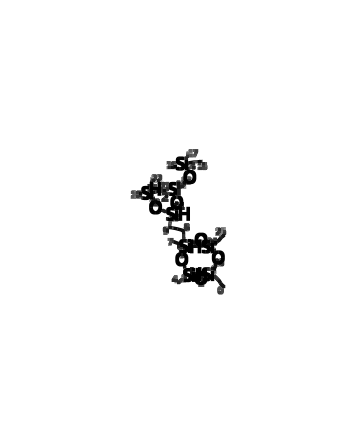 C[SiH]1O[SiH](C)O[Si](C)(CC[SiH](O[SiH2]O[Si](C)(C)C)O[Si](C)(C)C)O[SiH](C)O1